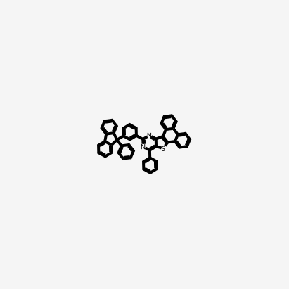 c1ccc(-c2nc(-c3cccc(C4(c5ccccc5)c5ccccc5-c5ccccc54)c3)nc3c2sc2c4ccccc4c4ccccc4c32)cc1